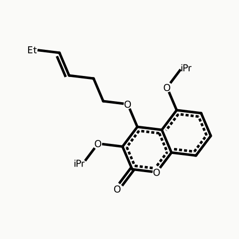 CCC=CCCOc1c(OC(C)C)c(=O)oc2cccc(OC(C)C)c12